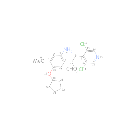 COc1cc(N)c(C(C=O)Cc2c(Cl)cncc2Cl)cc1OC1CCCC1